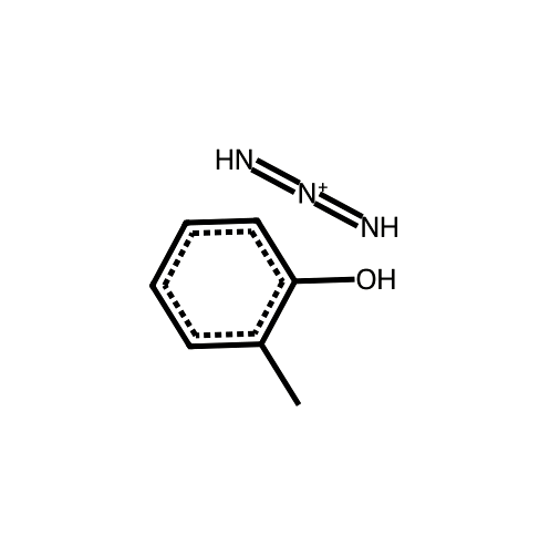 Cc1ccccc1O.N=[N+]=N